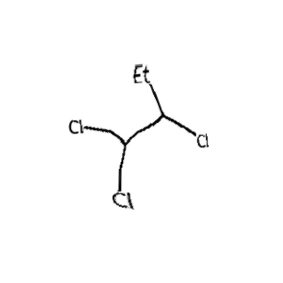 CCC(Cl)C(Cl)Cl